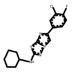 Fc1ccc(-c2cn3nc(NC4CCCCC4)sc3n2)cc1Cl